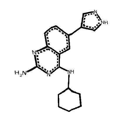 Nc1nc(NC2CCCCC2)c2cc(-c3cn[nH]c3)ccc2n1